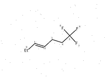 [CH2]C/C=C/CCC(F)(F)F